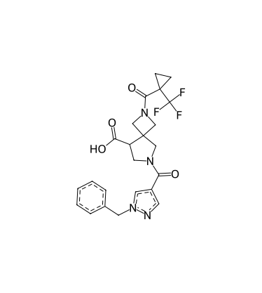 O=C(O)C1CN(C(=O)c2cnn(Cc3ccccc3)c2)CC12CN(C(=O)C1(C(F)(F)F)CC1)C2